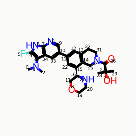 CN(C)c1c(F)[nH]c2ncc(-c3cc4c(c([C@@H]5COCCN5)c3)CN(C(=O)C(C)(C)O)CC4)cc12